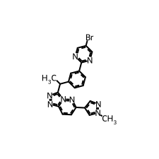 CC(c1cccc(-c2ncc(Br)cn2)c1)c1nnc2ccc(-c3cnn(C)c3)nn12